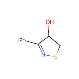 CC(C)C1=NSCC1O